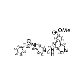 COC(=O)c1ccc2c(c1)nc(NCCN1CCC(CNC(=O)OCc3ccccc3)CC1)c1ccncc12